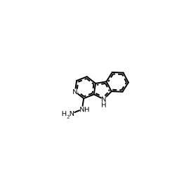 NNc1nccc2c1[nH]c1ccccc12